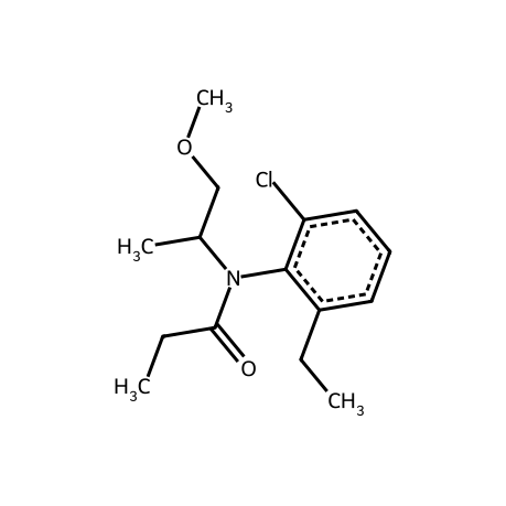 CCC(=O)N(c1c(Cl)cccc1CC)C(C)COC